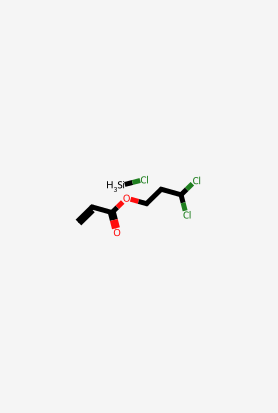 C=CC(=O)OCCC(Cl)Cl.[SiH3]Cl